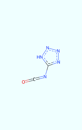 O=C=Nc1nnn[nH]1